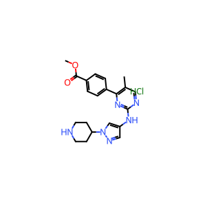 COC(=O)c1ccc(-c2nc(Nc3cnn(C4CCNCC4)c3)ncc2C)cc1.Cl